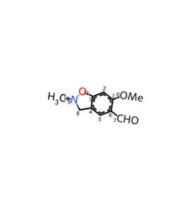 COc1cc2c(cc1C=O)CN(C)O2